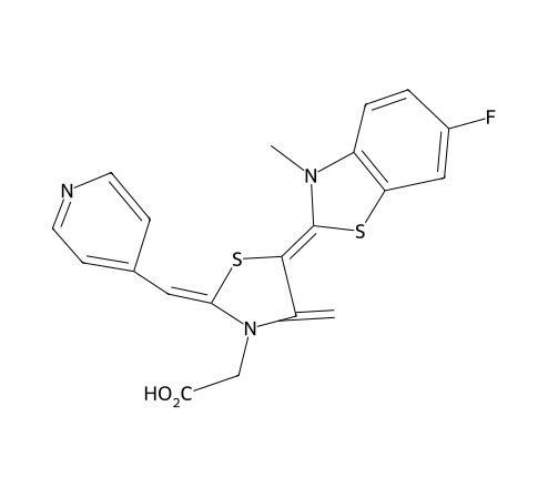 C=C1/C(=C2\Sc3cc(F)ccc3N2C)S/C(=C\c2ccncc2)N1CC(=O)O